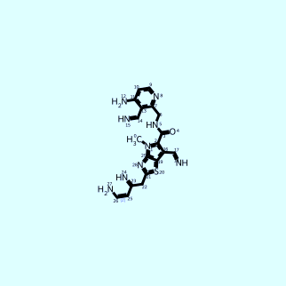 Cn1c(C(=O)NCc2nccc(N)c2C=N)c(C=N)c2sc(CC(=N)/C=C\N)nc21